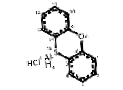 Cl.[AlH3].c1ccc2c(c1)Oc1ccccc1S2